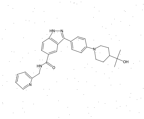 CC(C)(O)C1CCN(c2ccc(-c3n[nH]c4ccc(C(=O)NCc5ccccn5)cc34)cc2)CC1